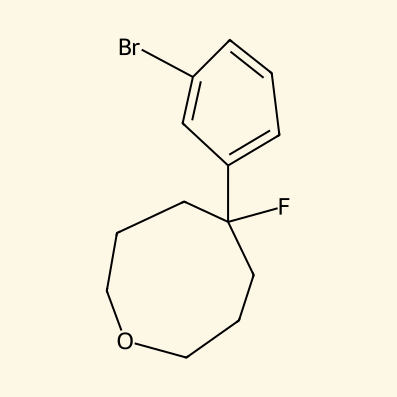 FC1(c2cccc(Br)c2)CCCOCCC1